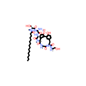 CCCCCCCCCCCCCCCC(=O)N(C)[C@H](CO)C(=O)N[C@H](N)C(=O)NCC(=O)N(C)[C@@H]1C(=O)N[C@@H](C)C(=O)N[C@H](C(=O)N[C@@H](C)CO)Cc2ccc(O)c(c2)-c2cc1ccc2O